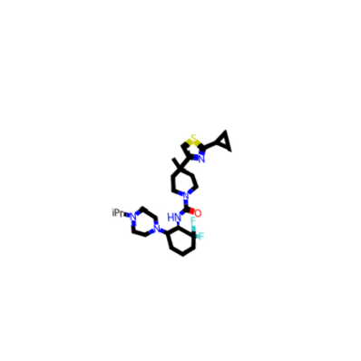 CC(C)N1CCN(C2CCCC(F)(F)[C@@H]2NC(=O)N2CCC(C)(c3csc(C4CC4)n3)CC2)CC1